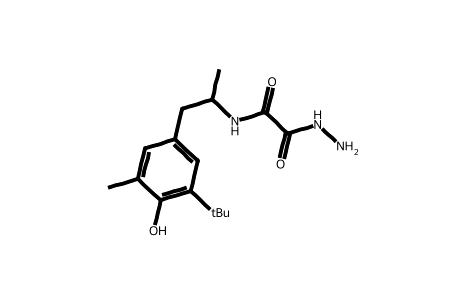 Cc1cc(CC(C)NC(=O)C(=O)NN)cc(C(C)(C)C)c1O